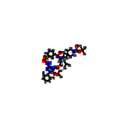 Cc1cccc(C)c1-c1nc2nc(c1OC(C)C)OC[C@@H](CC(C)C)N(C1CC3(CCN(C(=O)OC(C)(C)C)CC3)C1)C(=O)c1cccc(c1)S(=O)(=O)N2